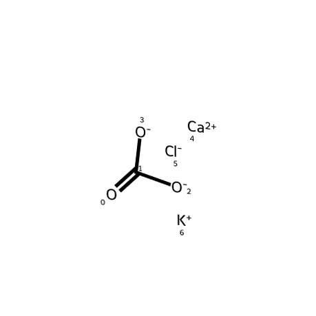 O=C([O-])[O-].[Ca+2].[Cl-].[K+]